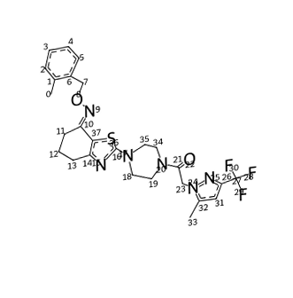 Cc1ccccc1CON=C1CCCc2nc(N3CCN(C(=O)Cn4nc(C(F)(F)F)cc4C)CC3)sc21